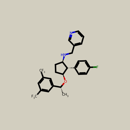 C[C@@H](O[C@H]1CC[C@@H](NCc2cccnc2)[C@@H]1c1ccc(F)cc1)c1cc(C(F)(F)F)cc(C(F)(F)F)c1